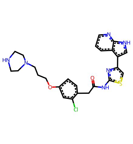 O=C(Cc1ccc(OCCCN2CCNCC2)cc1Cl)Nc1nc(-c2c[nH]c3ncccc23)cs1